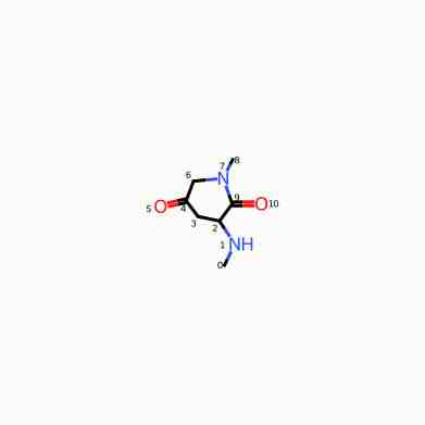 CNC1CC(=O)CN(C)C1=O